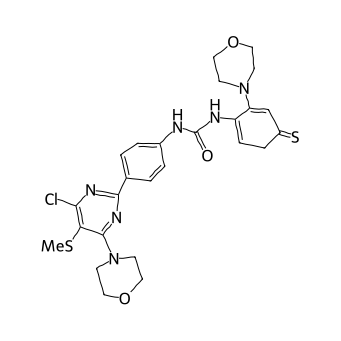 CSc1c(Cl)nc(-c2ccc(NC(=O)NC3=CCC(=S)C=C3N3CCOCC3)cc2)nc1N1CCOCC1